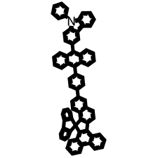 c1ccc(-n2c3ccccc3c3cc(-c4c5ccccc5c(-c5ccc(-c6ccc7c8c(ccc7c6)-c6c(c7ccccc7c7ccccc67)C86c7ccccc7-c7ccccc76)cc5)c5ccccc45)ccc32)cc1